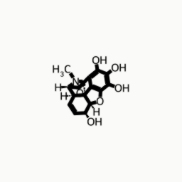 CN1CC[C@@]23c4c5c(O)c(O)c(O)c4C(=O)[C@@H]1[C@@H]2C=C[C@H](O)[C@@H]3O5